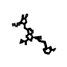 C=C1NC(=O)C/C1=C\c1cnn2c(NCCc3cccc(F)c3)nc(NC3CC3)nc12